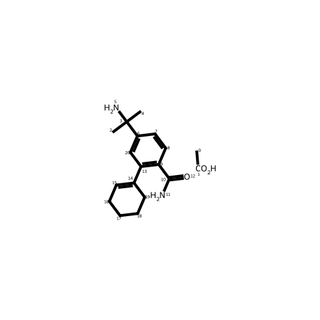 CC(=O)O.CC(C)(N)c1ccc(C(N)=O)c(C2=CCCCC2)c1